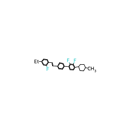 CCc1ccc(/C=C/c2ccc(-c3ccc(C4CCC(C)CC4)c(F)c3F)cc2)c(F)c1